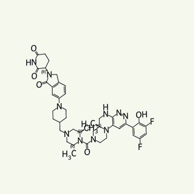 C[C@@H]1CN(CC2CCN(c3ccc4c(c3)C(=O)N([C@@H]3CCC(=O)NC3=O)C4)CC2)C[C@@H](C)N1C(=O)N1CCN2c3cc(-c4cc(F)cc(F)c4O)nnc3NC[C@@]2(C)C1